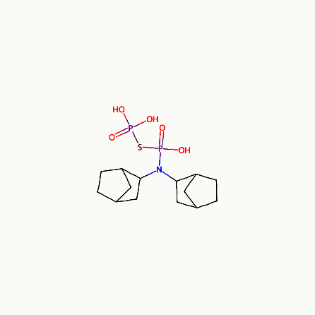 O=P(O)(O)SP(=O)(O)N(C1CC2CCC1C2)C1CC2CCC1C2